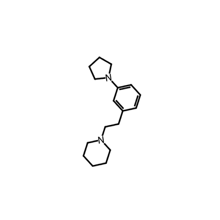 c1cc(CCN2CCCCC2)cc(N2CCCC2)c1